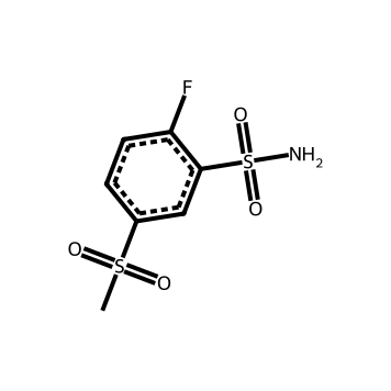 CS(=O)(=O)c1ccc(F)c(S(N)(=O)=O)c1